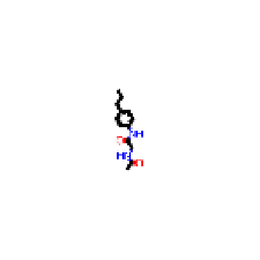 CCCc1ccc(NC(=O)CNC(C)=O)cc1